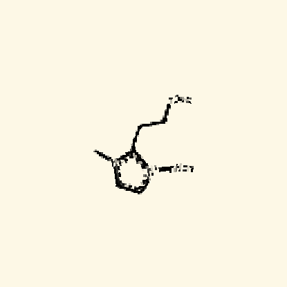 CCCCCCCCCCCCc1n(C)cc[n+]1CCCCCCCCC